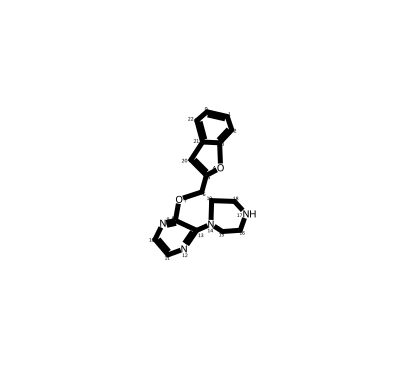 c1ccc2oc(COc3nccnc3N3CCNCC3)cc2c1